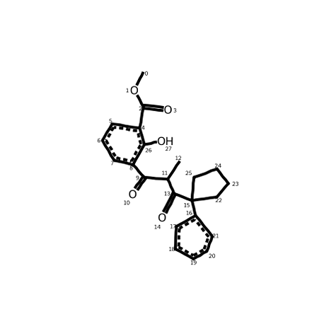 COC(=O)c1cccc(C(=O)C(C)C(=O)C2(c3ccccc3)CCCC2)c1O